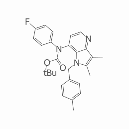 Cc1ccc(Cn2c(C)c(C)c3nccc(N(C(=O)OC(C)(C)C)c4ccc(F)cc4)c32)cc1